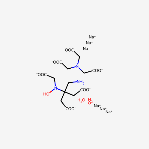 NCC(CC(=O)[O-])(CC(=O)[O-])N(O)CC(=O)[O-].O.O.O=C([O-])CN(CC(=O)[O-])CC(=O)[O-].[Na+].[Na+].[Na+].[Na+].[Na+].[Na+]